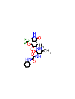 CC(C)CC(NC(=O)C(=O)NC1CCCCC1)C(=O)NC(C[C@@H]1CCNC1=O)C(=O)COC(F)(F)F